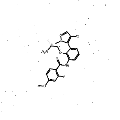 COc1ccc(C(=O)Nc2cccc(-c3c(Cl)cnn3C)c2OC[C@@H](C)N)c(F)c1